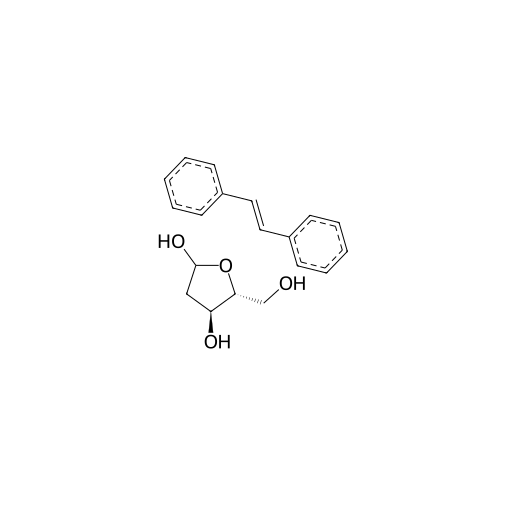 C(=Cc1ccccc1)c1ccccc1.OC[C@H]1OC(O)C[C@@H]1O